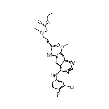 CCOC(=O)CN(C)CC=CC(=O)Nc1cc2c(Nc3ccc(F)c(Cl)c3)ncnc2cc1OC